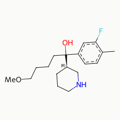 COCCCCC(O)(c1ccc(C)c(F)c1)[C@@H]1CCCNC1